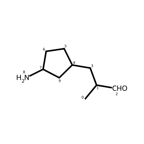 CC(C=O)CC1CCC(N)C1